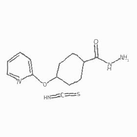 N=C=S.NNC(=O)C1CCC(Oc2ccccn2)CC1